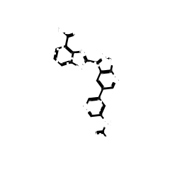 CCC(=O)Nc1cncc(-c2cnc3[nH]nc(-c4nc5c(C(N)=O)cccc5[nH]4)c3c2)c1